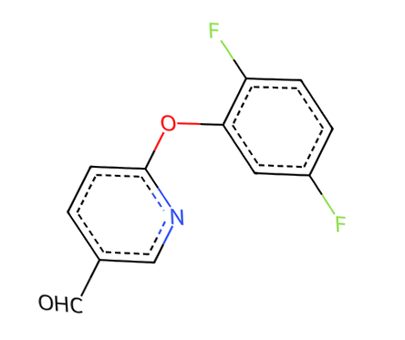 O=Cc1ccc(Oc2cc(F)ccc2F)nc1